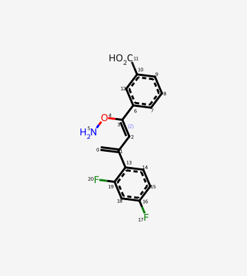 C=C(/C=C(\ON)c1cccc(C(=O)O)c1)c1ccc(F)cc1F